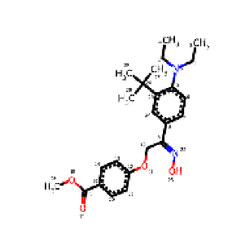 CCN(CC)c1ccc(C(COc2ccc(C(=O)OC)cc2)=NO)cc1C(C)(C)C